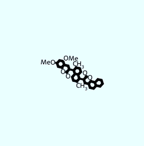 COc1cc(OC)c2cc(-c3c(C)ccc4c(-c5cc6ccc7ccccc7c6oc5=O)c(C)ccc34)c(=O)oc2c1